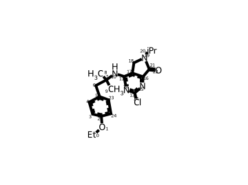 CCOc1ccc(CC(C)(C)Nc2nc(Cl)nc3c2CN(C(C)C)C3=O)cc1